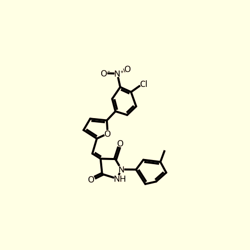 Cc1cccc(N2NC(=O)C(=Cc3ccc(-c4ccc(Cl)c([N+](=O)[O-])c4)o3)C2=O)c1